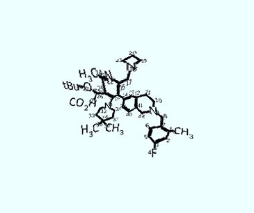 Cc1cc(F)ccc1CN1CCc2cc(-c3c(CN4CCC4)nc(C)c([C@H](OC(C)(C)C)C(=O)O)c3N3CCC(C)(C)CC3)ccc2C1